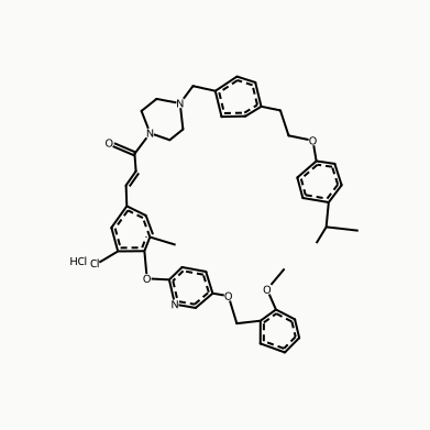 COc1ccccc1COc1ccc(Oc2c(C)cc(C=CC(=O)N3CCN(Cc4ccc(CCOc5ccc(C(C)C)cc5)cc4)CC3)cc2Cl)nc1.Cl